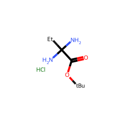 CCC(N)(N)C(=O)OC(C)(C)C.Cl